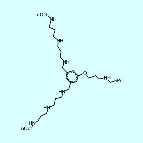 CCCCCCCCNCCCNCCCNCc1cc(CNCCCNCCCNCCCCCCCC)cc(OCCCNCC(C)C)c1